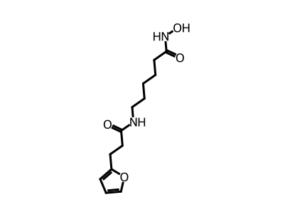 O=C(CCCCCNC(=O)CCc1ccco1)NO